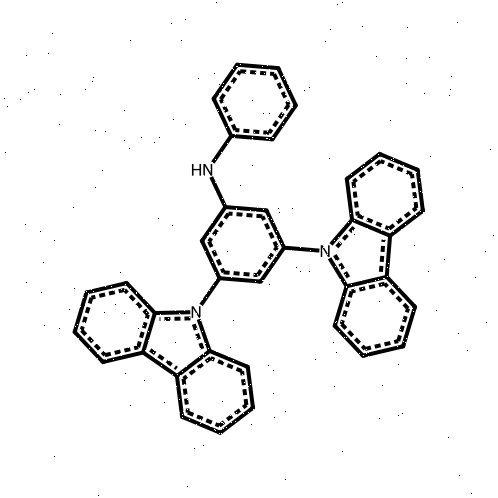 c1ccc(Nc2cc(-n3c4ccccc4c4ccccc43)cc(-n3c4ccccc4c4ccccc43)c2)cc1